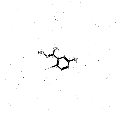 ON=C(c1cc(Br)ccc1F)C(F)(F)F